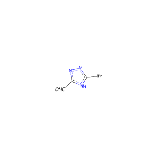 CC(C)c1nnc(C=O)[nH]1